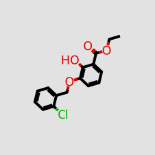 CCOC(=O)c1cccc(OCc2ccccc2Cl)c1O